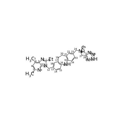 CCc1nc2c(C)cc(C)nc2n1Cc1ccc2c(c1)CCc1cc(CN(C)Cc3nn[nH]n3)ccc1N2